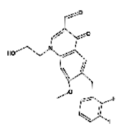 COc1cc2c(cc1Cc1cccc(I)c1F)c(=O)c(C=O)cn2CCO